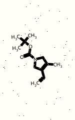 C=CC1=C(C)CN(C(=O)OC(C)(C)C)C1